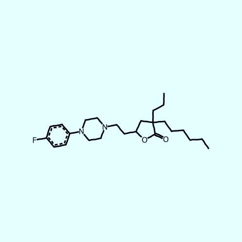 CCCCCCC1(CCC)CC(CCN2CCN(c3ccc(F)cc3)CC2)OC1=O